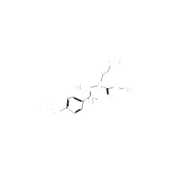 C[C@H]([SiH2]N(CCO)C(=O)OC(C)(C)C)c1ccc(OC(F)(F)F)cc1